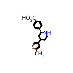 Cc1cc(C2CCN[C@H](c3ccc(C(=O)O)cc3)C2)cs1